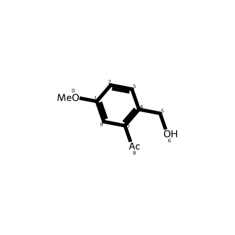 COc1ccc(CO)c(C(C)=O)c1